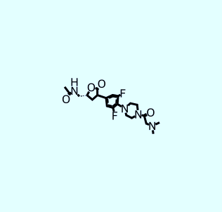 CC(=O)NC[C@H]1CC(c2cc(F)c(N3CCN(C(=O)CN(C)C)CC3)c(F)c2)C(=O)O1